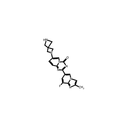 Cc1cn2cc(-c3nc(=O)n4cc(N5CC6(CNC6)C5)ccc4n3)cc(F)c2n1